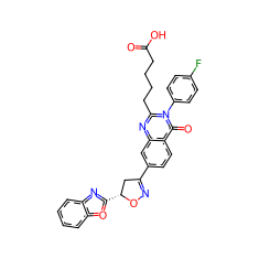 O=C(O)CCCCc1nc2cc(C3=NO[C@H](c4nc5ccccc5o4)C3)ccc2c(=O)n1-c1ccc(F)cc1